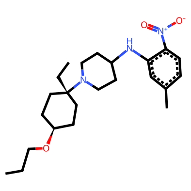 CCCO[C@H]1CC[C@](CC)(N2CCC(Nc3cc(C)ccc3[N+](=O)[O-])CC2)CC1